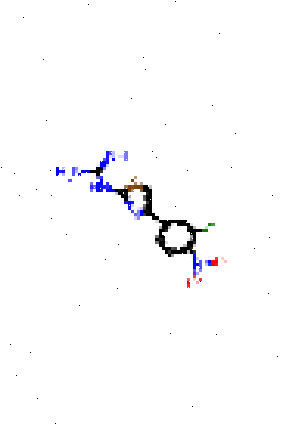 N=C(N)Nc1nc(-c2ccc([N+](=O)[O-])c(F)c2)cs1